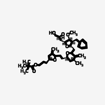 C=C1C[C@H](CCCOC(=O)C(C)(C)C)OC1CC[C@H]1C[C@@H](C)C(=C)C(C[C@@H]2O[C@H](C[C@H](O)CO)[C@H](OC)[C@H]2Cc2ccccc2)O1